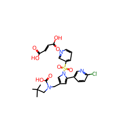 CC(C)(C)CN(Cc1cc(-c2ccc(Cl)nc2)n(S(=O)(=O)c2cccnc2)c1)C(=O)O.O=C(O)C=CC(=O)O